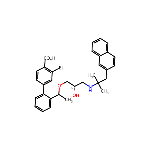 CCc1cc(-c2ccccc2C(C)OC[C@@H](O)CNC(C)(C)Cc2ccc3ccccc3c2)ccc1C(=O)O